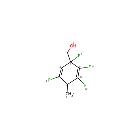 [CH2]C1C(F)=CC(F)(CO)C(F)=C1F